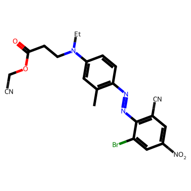 CCN(CCC(=O)OCC#N)c1ccc(N=Nc2c(Br)cc([N+](=O)[O-])cc2C#N)c(C)c1